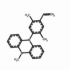 C=Cc1cc(C)c(N2c3ccccc3N(C)c3ccccc32)cc1C